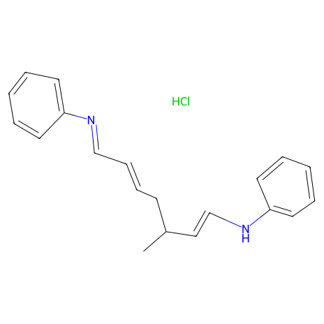 CC(C=CNc1ccccc1)CC=CC=Nc1ccccc1.Cl